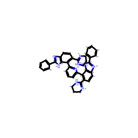 c1ccc(-c2nc3ccc(C4=NCCCN4)c(-c4cccc(-c5c(C6=NCCCN6)ccc6nc(-c7ccccc7)[nH]c56)n4)c3[nH]2)cc1